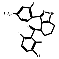 O=C(O)c1ccc(-c2n[nH]c3c2C(C(=O)c2c(Cl)ccc(Cl)c2F)CCC3)c(F)c1